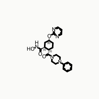 O=C(NO)[C@H]1C[C@H](Oc2ncccn2)CC[C@@H]1C(=O)N1CCN(c2ccccc2)CC1